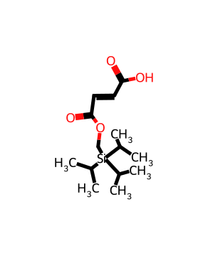 CC(C)[Si](COC(=O)/C=C/C(=O)O)(C(C)C)C(C)C